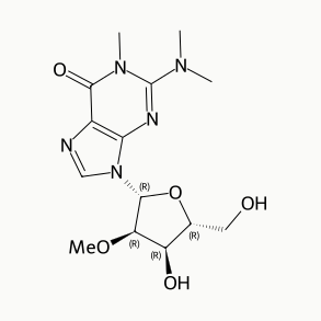 CO[C@@H]1[C@H](O)[C@@H](CO)O[C@H]1n1cnc2c(=O)n(C)c(N(C)C)nc21